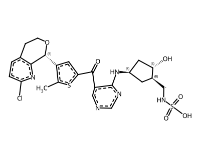 Cc1sc(C(=O)c2cncnc2N[C@H]2C[C@H](O)[C@@H]([CH]NS(=O)(=O)O)C2)cc1[C@H]1OCCc2ccc(Cl)nc21